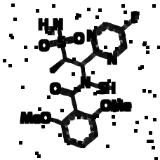 COc1cccc(OC)c1C(=O)N(S)C(c1ncc(F)cn1)[C@@H](C)S(N)(=O)=O